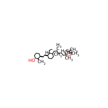 C=C1/C(=C/C=C2\CCC[C@]3(C)[C@@H]([C@@H](C)CCCC(C)(C)O[Si](C)(C)C)CC[C@@H]23)CCC[C@@H]1O